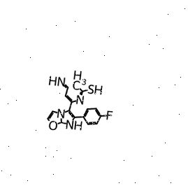 C/C(S)=N\C(=C/C=N)C1=C(c2ccc(F)cc2)NC2OC=CN12